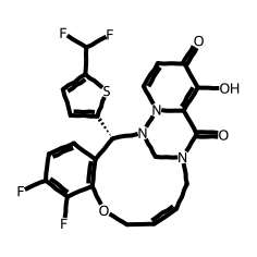 O=C1c2c(O)c(=O)ccn2N2CN1C/C=C\COc1c(ccc(F)c1F)[C@@H]2c1ccc(C(F)F)s1